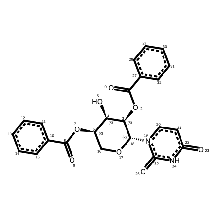 O=C(O[C@@H]1[C@H](O)[C@H](OC(=O)c2ccccc2)CO[C@H]1n1ccc(=O)[nH]c1=O)c1ccccc1